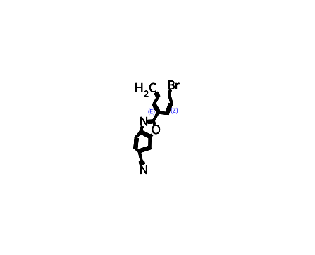 C=C/C=C(\C=C/CBr)c1nc2ccc(C#N)cc2o1